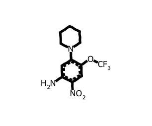 Nc1cc(N2CCCCC2)c(OC(F)(F)F)cc1[N+](=O)[O-]